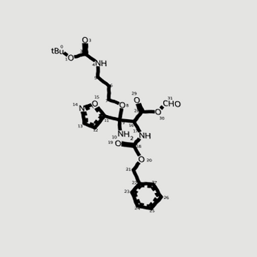 CC(C)(C)OC(=O)NCCCOC(N)(c1ccno1)C(NC(=O)OCc1ccccc1)C(=O)OC=O